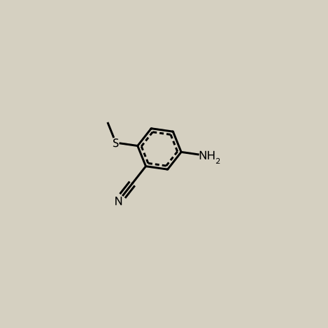 CSc1ccc(N)cc1C#N